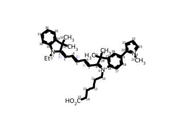 CCN1/C(=C/C=C/C=C/C2=[N+](CCCCCC(=O)O)c3ccc(-c4cccn4C)cc3C2(C)C)C(C)(C)c2ccccc21